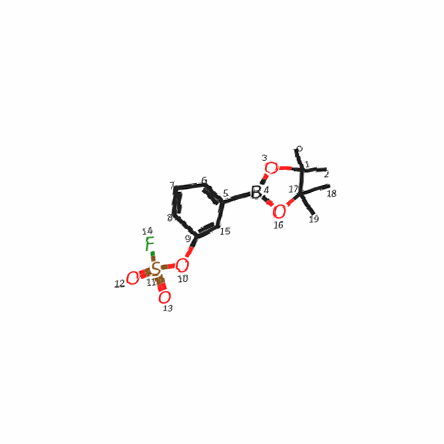 CC1(C)OB(c2cccc(OS(=O)(=O)F)c2)OC1(C)C